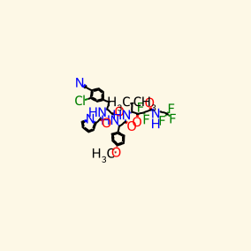 COc1ccc(C(NC(=O)C(Cc2ccc(C#N)c(Cl)c2)NC(=O)c2ccccn2)C(=O)NC(C(=O)C(F)(F)C(=O)NCC(F)(F)F)C(C)C)cc1